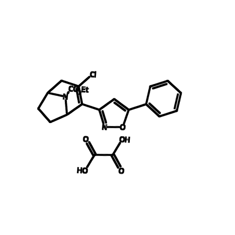 CCOC(=O)N1C2CCC1C(c1cc(-c3ccccc3)on1)=C(Cl)C2.O=C(O)C(=O)O